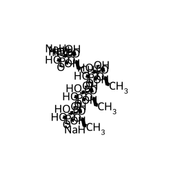 CCCOP(=O)(O)C(O)P(=O)(O)O.CCCOP(=O)(O)C(O)P(=O)(O)O.CCCOP(=O)(O)C(O)P(=O)(O)O.CCCOP(=O)(O)C(O)P(=O)(O)O.[NaH].[NaH].[NaH].[NaH]